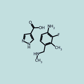 CNCc1ccc(N)c(F)c1C.O=C(O)c1cn[nH]c1